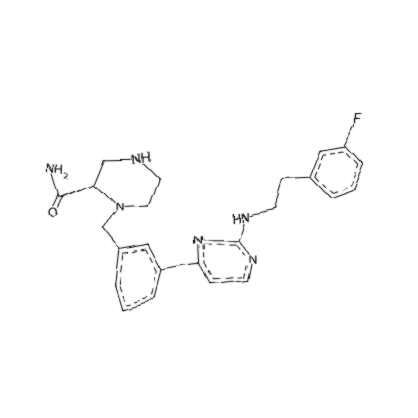 NC(=O)C1CNCCN1Cc1cccc(-c2ccnc(NCCc3cccc(F)c3)n2)c1